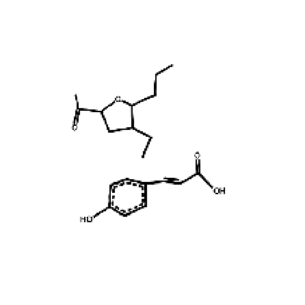 CCCC1OC(C(C)=O)CC1CC.O=C(O)C=Cc1ccc(O)cc1